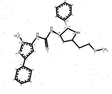 COCCC1C[C@@H](NC(=O)Nc2cc(-c3ccccc3)nn2C)[C@H](c2ccccc2)N1